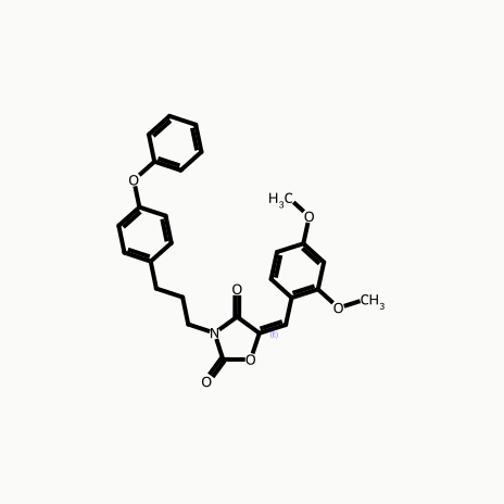 COc1ccc(/C=C2/OC(=O)N(CCCc3ccc(Oc4ccccc4)cc3)C2=O)c(OC)c1